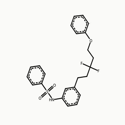 O=S(=O)(Nc1cccc(CCC(F)(F)CCOc2[c]cccc2)c1)c1ccccc1